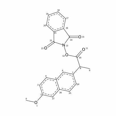 COc1ccc2cc(C(C)C(=O)ON3C(=O)c4ccccc4C3=O)ccc2c1